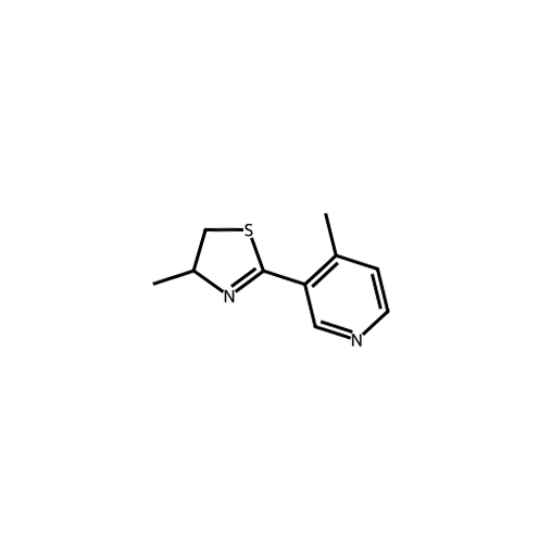 Cc1ccncc1C1=NC(C)CS1